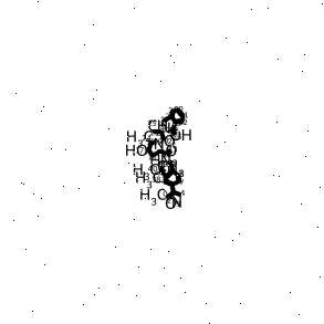 Cc1oncc1-c1ccc(CNC(=O)C2CC(O)CN2C(=O)C(C(C)C)N2Cc3ccccc3C2O)c(C(C)(C)C)c1